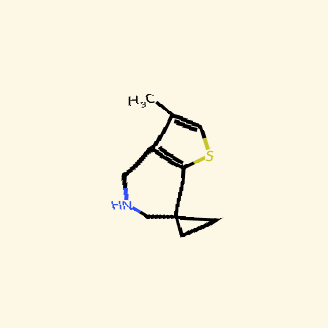 Cc1csc2c1CNCC21CC1